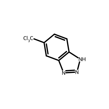 ClC(Cl)(Cl)c1ccc2[nH]nnc2c1